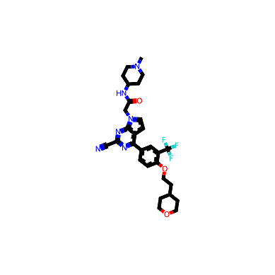 CN1CCC(NC(=O)Cn2ccc3c(-c4ccc(OCCC5CCOCC5)c(C(F)(F)F)c4)nc(C#N)nc32)CC1